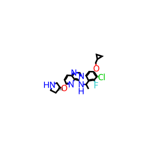 CC(Nc1ncnc2ccc(O[C@H]3CCNC3)nc12)c1ccc(OCC2CC2)c(Cl)c1F